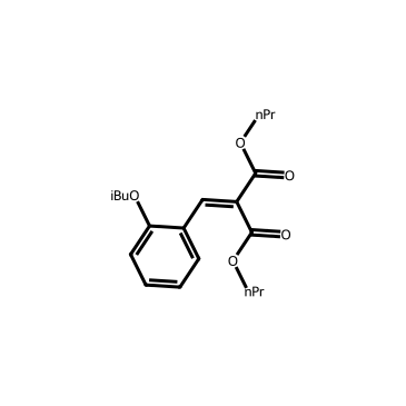 CCCOC(=O)C(=Cc1ccccc1OCC(C)C)C(=O)OCCC